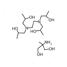 CC(N)(CO)CO.CC(O)CN(CCN(CC(C)O)CC(C)O)CC(C)O